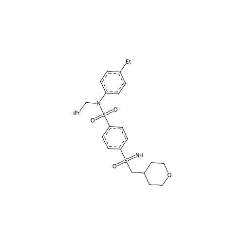 CCc1ccc(N(CC(C)C)S(=O)(=O)c2ccc(S(=N)(=O)CC3CCOCC3)cc2)cc1